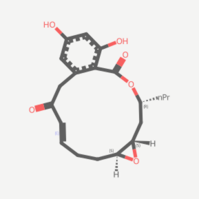 CCC[C@@H]1C[C@@H]2O[C@H]2CC/C=C/C(=O)Cc2cc(O)cc(O)c2C(=O)O1